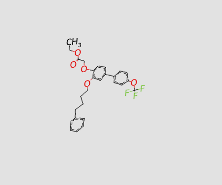 CCOC(=O)COc1ccc(-c2ccc(OC(F)(F)F)cc2)cc1OCCCCc1ccccc1